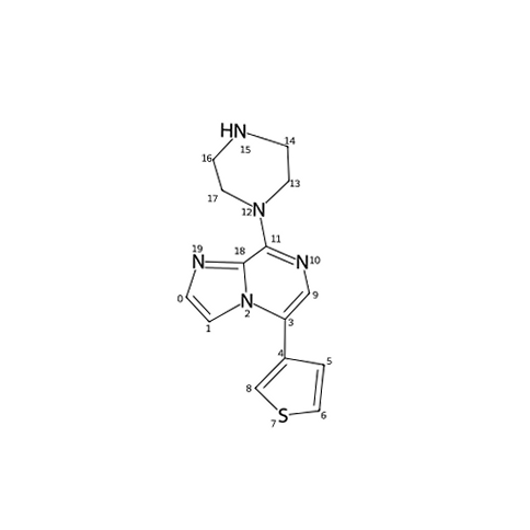 c1cn2c(-c3ccsc3)cnc(N3CCNCC3)c2n1